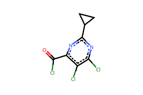 O=C(Cl)c1nc(C2CC2)nc(Cl)c1Cl